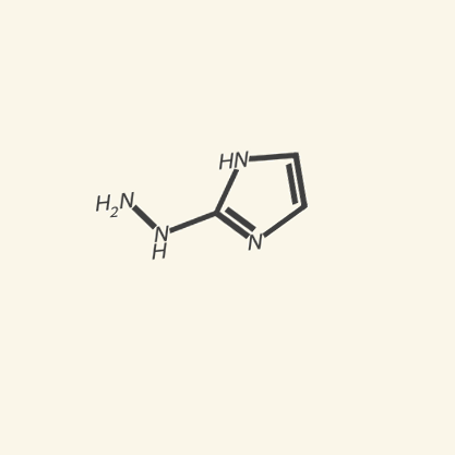 NNc1ncc[nH]1